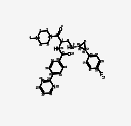 CN1CCN(C(=O)C(CN[C@@H]2C[C@H]2c2ccc(F)cc2)NC(=O)c2ccc(-c3ncccn3)cc2)CC1